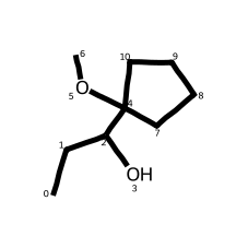 CCC(O)C1(OC)CCCC1